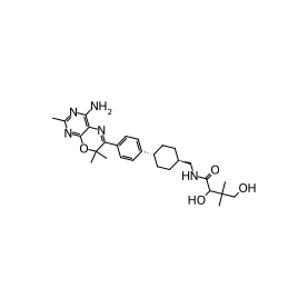 Cc1nc(N)c2c(n1)OC(C)(C)C(c1ccc([C@H]3CC[C@H](CNC(=O)C(O)C(C)(C)CO)CC3)cc1)=N2